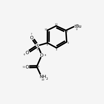 CC(C)(C)c1ccc(S(=O)(=O)OC(N)=O)cc1